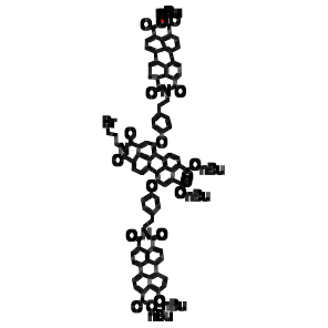 CCCCOC(=O)c1ccc2c3ccc4c5c(ccc(c6ccc(OCCCC)c1c62)c53)C(=O)N(CCc1ccc(Oc2cc(C(=O)OCCCC)c3c(C(=O)OCCCC)ccc5c6c(Oc7ccc(CCN8C(=O)c9ccc%10c%11ccc(C(=O)OCCCC)c%12c(C(=O)OCCCC)ccc(c%13ccc(c9c%10%13)C8=O)c%12%11)cc7)cc7c8c(ccc(c2c35)c86)C(=O)N(CCCBr)C7=O)cc1)C4=O